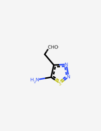 Nc1snnc1C[C]=O